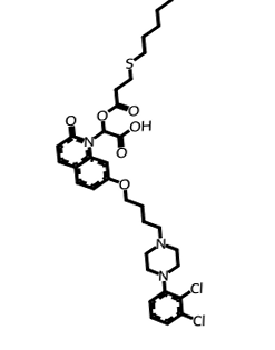 CCCCCSCCC(=O)OC(C(=O)O)n1c(=O)ccc2ccc(OCCCCN3CCN(c4cccc(Cl)c4Cl)CC3)cc21